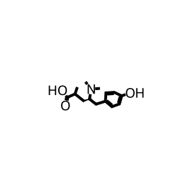 CC(C[C@H](Cc1ccc(O)cc1)N(C)C)C(=O)O